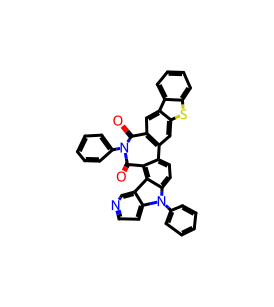 O=c1c2cc3c(cc2c2ccc4c(c5cnccc5n4-c4ccccc4)c2c(=O)n1-c1ccccc1)sc1ccccc13